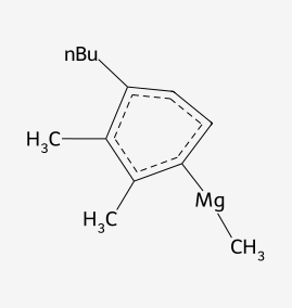 CCCCc1cc[c]([Mg][CH3])c(C)c1C